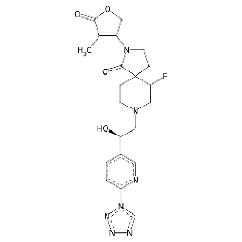 CC1=C(N2CCC3(CCN(C[C@H](O)c4ccc(-n5cnnn5)nc4)CC3F)C2=O)COC1=O